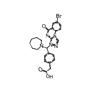 O=C(O)Cc1ccc(C(N2CCCCCC2)n2ncn3c4ccc(Br)cc4c(=O)nc23)cc1